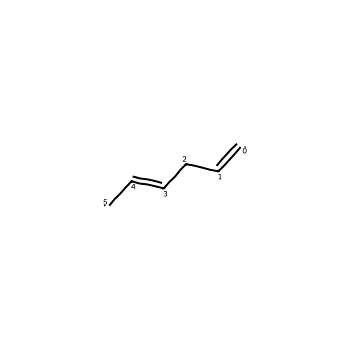 [CH]=CCC=C[CH2]